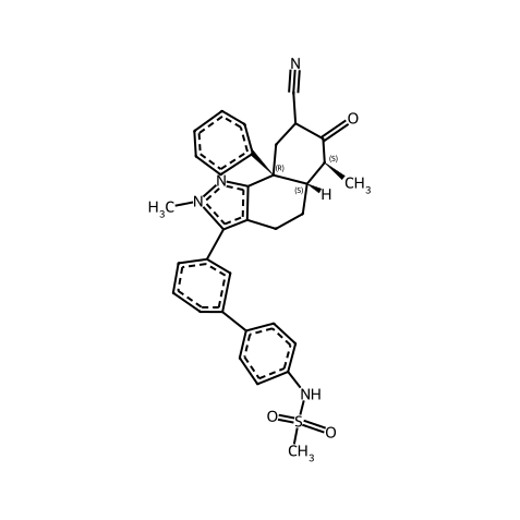 C[C@@H]1C(=O)C(C#N)C[C@@]2(c3ccccc3)c3nn(C)c(-c4cccc(-c5ccc(NS(C)(=O)=O)cc5)c4)c3CC[C@@H]12